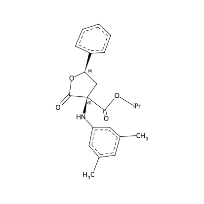 Cc1cc(C)cc(N[C@]2(C(=O)OC(C)C)C[C@H](c3ccccc3)OC2=O)c1